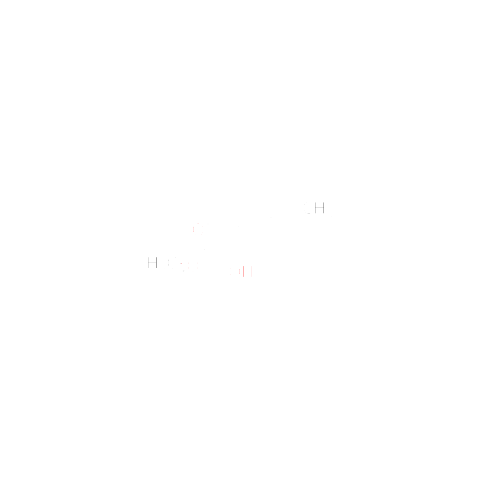 CCCCCC(O)C(=O)OC